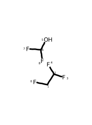 FCC(F)F.OC(F)F